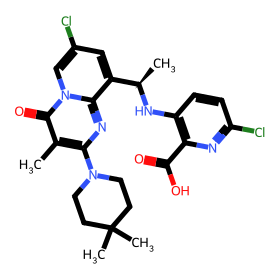 Cc1c(N2CCC(C)(C)CC2)nc2c([C@@H](C)Nc3ccc(Cl)nc3C(=O)O)cc(Cl)cn2c1=O